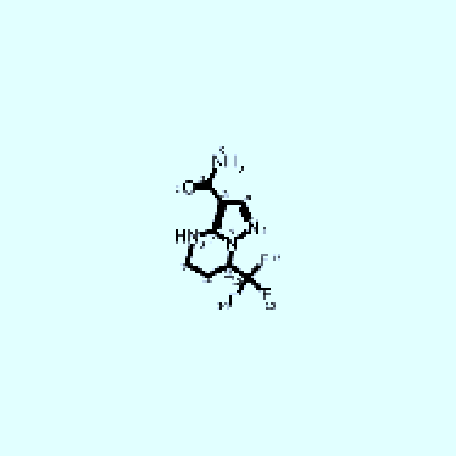 NC(=O)c1cnn2c1NCCC2C(F)(F)F